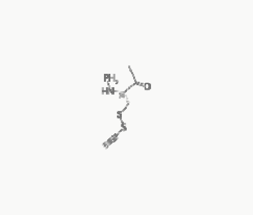 C#CSSC[C@H](NP)C(C)=O